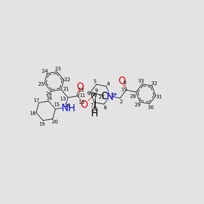 O=C(C[N+]12CCC(CC1)[C@@H](OC(=O)C(NC1CCCCC1)c1ccccc1)C2)c1ccccc1